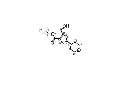 CCOC(=O)c1sc(N2CCOCC2)nc1CO